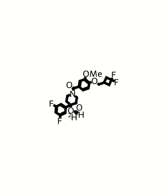 [2H]C1([2H])OC2CN(C(=O)c3ccc(OCC4CC(F)(F)C4)c(OC)c3)CCC2(c2cc(F)cc(F)c2)O1